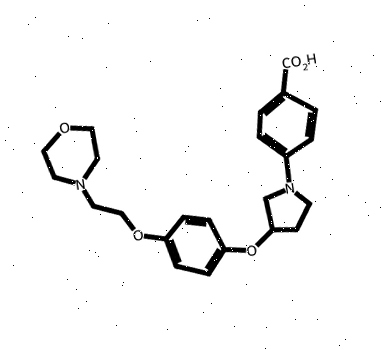 O=C(O)c1ccc(N2CCC(Oc3ccc(OCCN4CCOCC4)cc3)C2)cc1